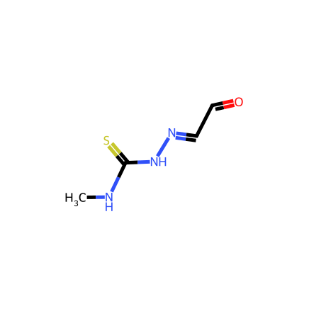 CNC(=S)N/N=C/C=O